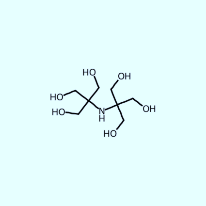 OCC(CO)(CO)NC(CO)(CO)CO